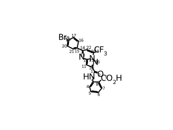 O=C(Nc1ccccc1C(=O)O)c1cc2nc(-c3ccc(Br)cc3)cc(C(F)(F)F)n2n1